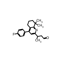 CC(CC=O)c1cc(-c2ccc(F)cc2)c2c(n1)C(C)(C)CCC2